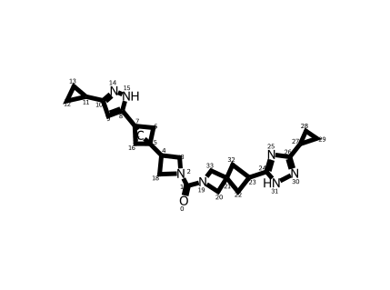 O=C(N1CC(C23CC(c4cc(C5CC5)n[nH]4)(C2)C3)C1)N1CC2(CC(c3nc(C4CC4)n[nH]3)C2)C1